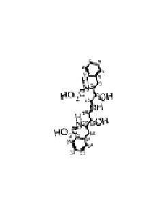 O=C(O)NC(Cc1ccccc1)[C@H](O)CNC[C@H](O)C(Cc1ccccc1)NC(=O)O